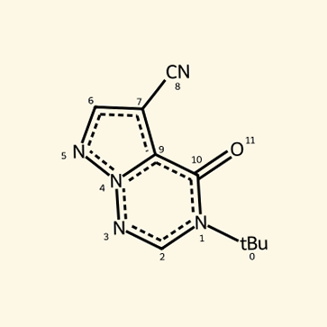 CC(C)(C)n1cnn2ncc(C#N)c2c1=O